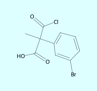 CC(C(=O)O)(C(=O)Cl)c1cccc(Br)c1